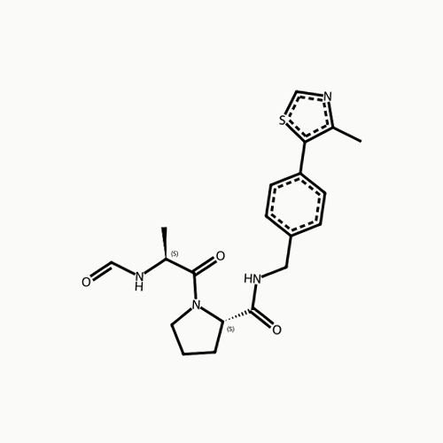 Cc1ncsc1-c1ccc(CNC(=O)[C@@H]2CCCN2C(=O)[C@H](C)NC=O)cc1